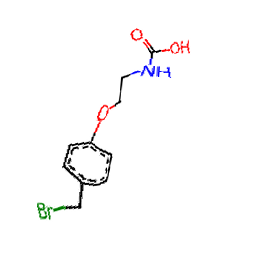 O=C(O)NCCOc1ccc(CBr)cc1